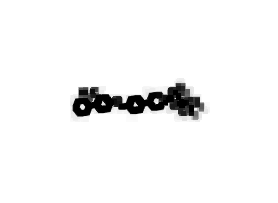 Cc1cc(OCc2ccc(C3CCN(C(=O)OC(C)(C)C)CC3)cc2)ccc1C1CCCCC1